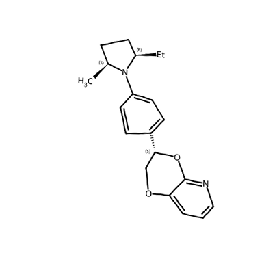 CC[C@@H]1CC[C@H](C)N1c1ccc([C@H]2COc3cccnc3O2)cc1